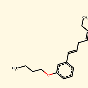 CC/C=C\CC=Cc1cccc(OCCCC)c1